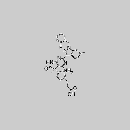 Cc1ccc2c(-c3nc(N)c4c(n3)NC(=O)[C@]4(C)c3ccc(CCC(=O)O)cc3)nn(Cc3ccccc3F)c2c1